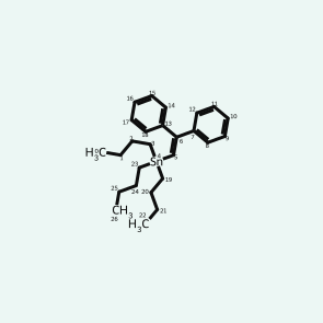 CCC[CH2][Sn]([CH]=C(c1ccccc1)c1ccccc1)([CH2]CCC)[CH2]CCC